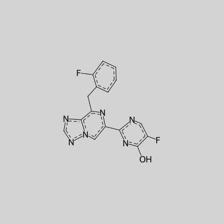 Oc1nc(-c2cn3ncnc3c(Cc3ccccc3F)n2)ncc1F